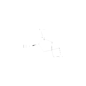 C[C@@H]1CC2(COC2)CN1C